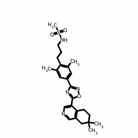 Cc1cc(-c2noc(-c3cncc4c3CCC(C)(C)C4)n2)cc(C)c1CCCNS(C)(=O)=O